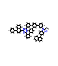 CCC1Nc2cc(-c3cccc4c3CCC=C4)ccc2N1c1cccc(-c2cccc(-c3ccc(-c4ccccc4-c4nc(-c5ccccc5)nc(-c5ccc(-c6ccccc6)c6ccccc56)n4)cc3)c2)c1